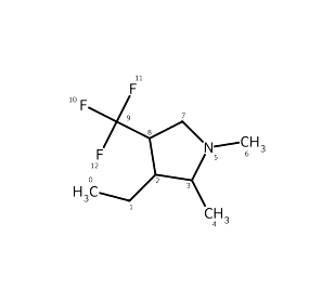 CCC1C(C)N(C)CC1C(F)(F)F